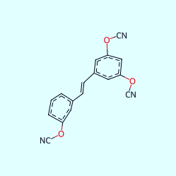 N#COc1cccc(/C=C/c2cc(OC#N)cc(OC#N)c2)c1